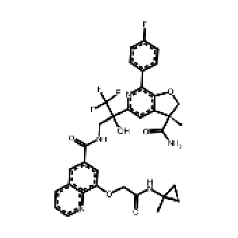 CC1(NC(=O)COc2cc(C(=O)NCC(O)(c3cc4c(c(-c5ccc(F)cc5)n3)OC[C@]4(C)C(N)=O)C(F)(F)F)cc3cccnc23)CC1